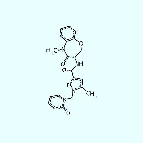 Cc1cc(C(=O)NC2COc3ccccc3N(C)C2=O)nn1Cn1ccccc1=O